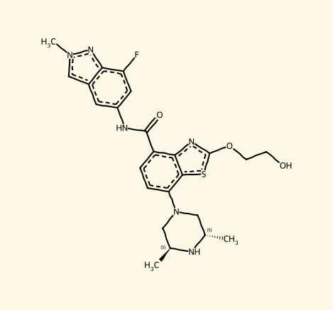 C[C@H]1CN(c2ccc(C(=O)Nc3cc(F)c4nn(C)cc4c3)c3nc(OCCO)sc23)C[C@H](C)N1